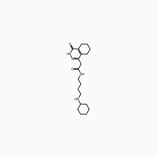 O=C(Cc1n[nH]c(=O)c2c1CCCC2)NCCCCNC1CCCCC1